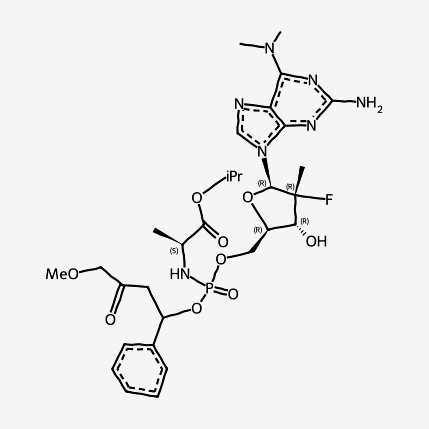 COCC(=O)CC(OP(=O)(N[C@@H](C)C(=O)OC(C)C)OC[C@H]1O[C@@H](n2cnc3c(N(C)C)nc(N)nc32)[C@](C)(F)[C@@H]1O)c1ccccc1